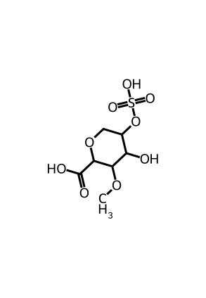 COC1C(C(=O)O)OCC(OS(=O)(=O)O)C1O